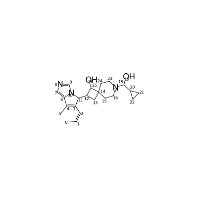 C/C=C\C1=C(C)c2cncn2C1C1CC2(CCN(C(O)C3CC3)CC2)C1O